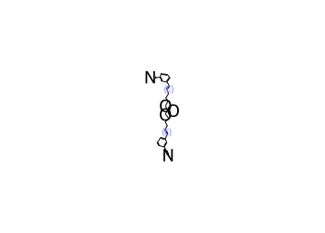 N#Cc1cccc(/C=C/CCCOC(=O)OCCC/C=C/c2cccc(C#N)c2)c1